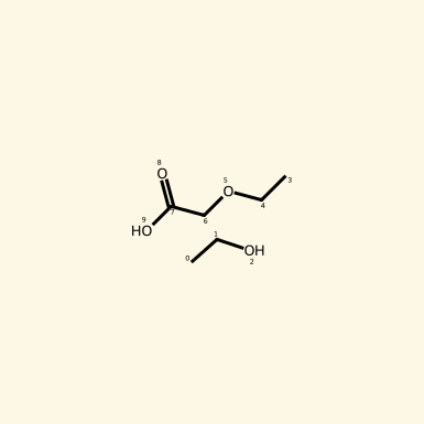 CCO.CCOCC(=O)O